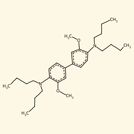 CCCCN(CCCC)c1ccc(-c2ccc(N(CCCC)CCCC)c(OC)c2)cc1OC